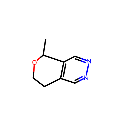 CC1OCCc2cnncc21